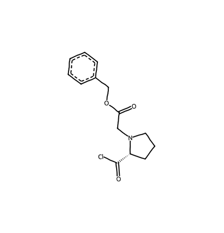 O=C(CN1CCC[C@@H]1C(=O)Cl)OCc1ccccc1